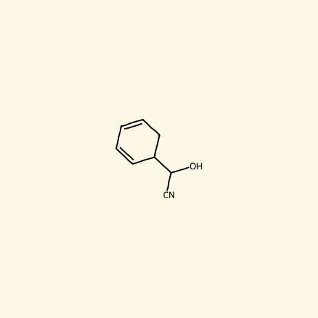 N#CC(O)C1C=CC=CC1